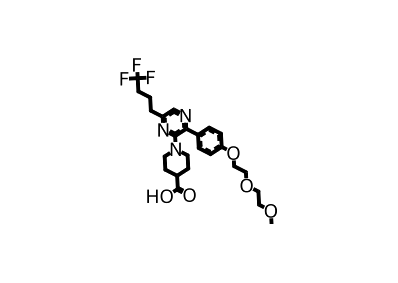 COCCOCCOc1ccc(-c2ncc(CCCC(F)(F)F)nc2N2CCC(C(=O)O)CC2)cc1